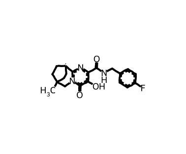 CC12CC[C](CC1)c1nc(C(=O)NCc3ccc(F)cc3)c(O)c(=O)n1C2